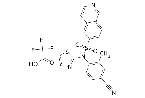 Cc1cc(C#N)ccc1N(c1nccs1)S(=O)(=O)c1ccc2cnccc2c1.O=C(O)C(F)(F)F